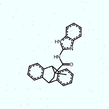 CC1(C(=O)Nc2nc3ccccc3[nH]2)CC2c3ccccc3C1c1ccccc12